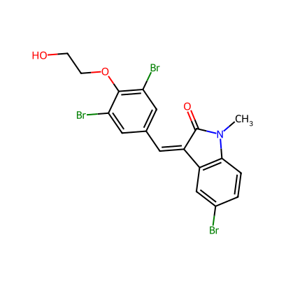 CN1C(=O)C(=Cc2cc(Br)c(OCCO)c(Br)c2)c2cc(Br)ccc21